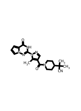 Cc1c(C(=O)N2CCC(C(C)(C)C#N)CC2)cnn1-c1nn2cccc2c(=O)[nH]1